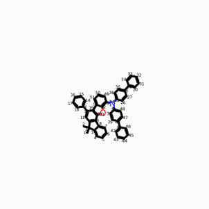 CC1(C)c2ccccc2-c2c1cc(-c1ccccc1)c1c2oc2c(N(c3ccc(-c4ccccc4)cc3)c3ccc(-c4ccccc4)cc3)cccc21